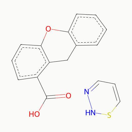 C1=CSNN=C1.O=C(O)c1cccc2c1Cc1ccccc1O2